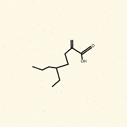 C=C(CCC(CC)CCC)C(=O)O